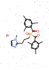 Cc1cc(C)c(C(=O)P(=O)(CCCC2=[N+]C=CN2C)C(=O)c2c(C)cc(C)cc2C)c(C)c1.[Br-]